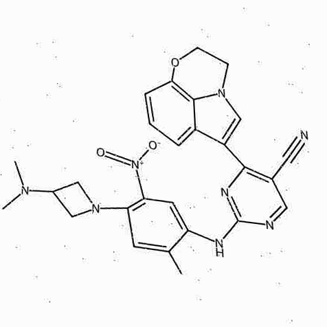 Cc1cc(N2CC(N(C)C)C2)c([N+](=O)[O-])cc1Nc1ncc(C#N)c(-c2cn3c4c(cccc24)OCC3)n1